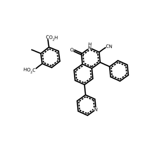 Cc1c(C(=O)O)cccc1C(=O)O.N#Cc1[nH]c(=O)c2ccc(-c3cccnc3)cc2c1-c1ccccc1